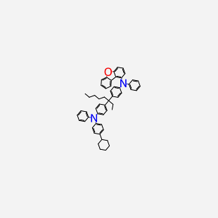 CCCCCC(CC)(c1ccc(N(c2ccccc2)c2ccc(C3CCCCC3)cc2)cc1)c1ccc(N(c2ccccc2)c2cccc3oc4ccccc4c23)cc1